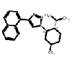 CC(C)[C@@H]1CC[C@@H](C)C[C@H]1n1cc(-c2cccc3ccccc23)nn1